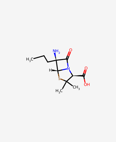 CCC[C@]1(N)C(=O)N2[C@@H](C(=O)O)C(C)(C)S[C@@H]21